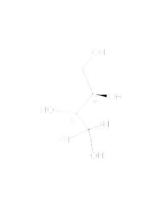 [2H]C([2H])(O)[C@H](O)[C@H](O)CO